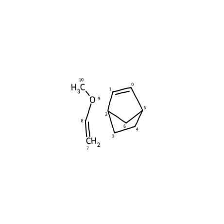 C1=CC2CCC1C2.C=COC